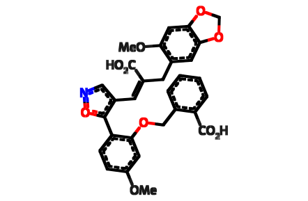 COc1ccc(-c2oncc2/C=C(/Cc2cc3c(cc2OC)OCO3)C(=O)O)c(OCc2ccccc2C(=O)O)c1